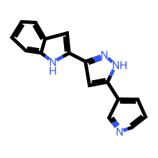 c1cncc(-c2cc(-c3cc4ccccc4[nH]3)n[nH]2)c1